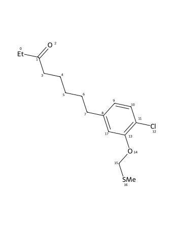 CCC(=O)CCCCCc1ccc(Cl)c(OCSC)c1